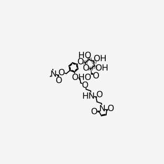 CN(C)C(=O)OCc1ccc(O[C@@H]2O[C@H](C(=O)O)[C@@H](O)[C@H](O)[C@H]2O)cc1OCCOCCNC(=O)CCN1C(=O)C=CC1=O